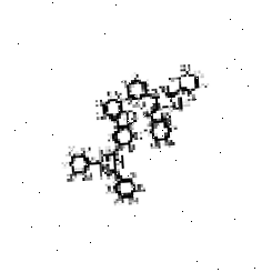 N=C(/N=C(/c1cccc(-c2cccc3c2oc2ccc(-c4nc(-c5ccccc5)nc(-c5ccccc5)n4)cc23)c1)c1cc2ccccc2o1)C1=CC=CCC1